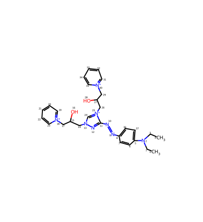 CCN(CC)c1ccc(N=Nc2nn(CC(O)C[n+]3ccccc3)c[n+]2CC(O)C[n+]2ccccc2)cc1